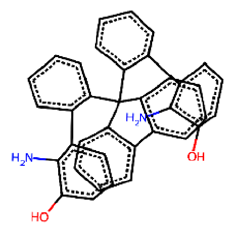 Nc1c(O)cccc1-c1ccccc1C1(c2ccccc2-c2cccc(O)c2N)c2ccccc2-c2ccccc21